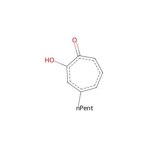 CCCCCc1cccc(=O)c(O)c1